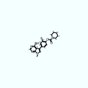 Cn1cc(-c2ccc(OC(=O)N3CCCCC3)c(F)c2)c2c(N)ncnc21